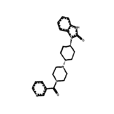 O=C(c1cccnc1)N1CCN([C@H]2CC[C@H](n3c(=O)[nH]c4ccccc43)CC2)CC1